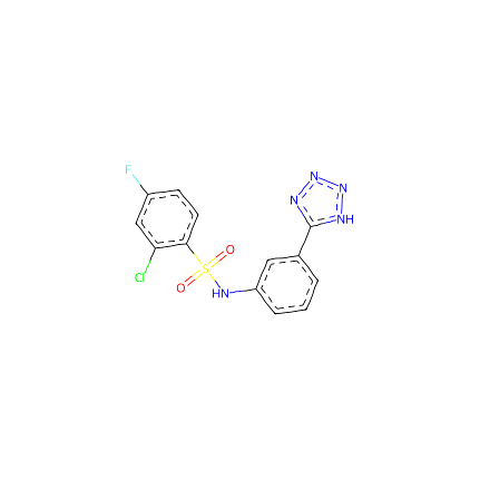 O=S(=O)(Nc1cccc(-c2nnn[nH]2)c1)c1ccc(F)cc1Cl